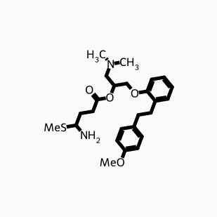 COc1ccc(CCc2ccccc2OCC(CN(C)C)OC(=O)CCC(N)SC)cc1